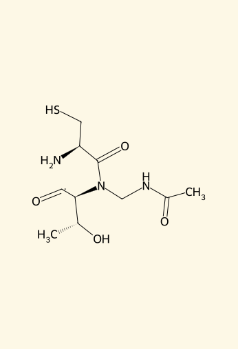 CC(=O)NCN(C(=O)[C@@H](N)CS)[C@H]([C]=O)[C@@H](C)O